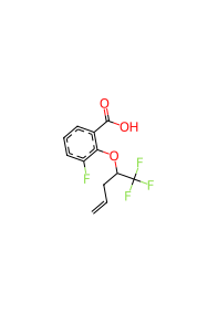 C=CCC(Oc1c(F)cccc1C(=O)O)C(F)(F)F